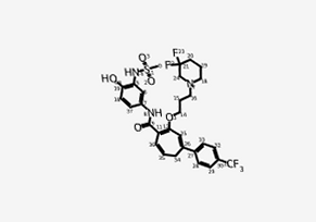 CS(=O)(=O)Nc1cc(NC(=O)C2=C(OCCCN3CCCC(F)(F)C3)C=C(c3ccc(C(F)(F)F)cc3)CC=C2)ccc1O